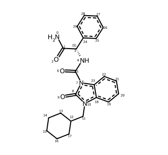 NC(=O)[C@@H](NC(=O)n1c(=O)n(CC2CCCCC2)c2ccccc21)c1ccccc1